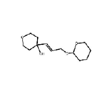 OC1(C=CCOC2CCCCO2)CCOCC1